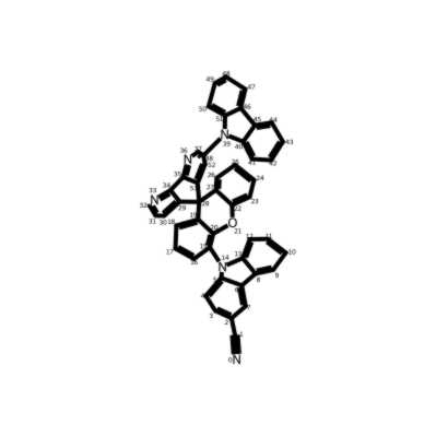 N#Cc1ccc2c(c1)c1ccccc1n2-c1cccc2c1Oc1ccccc1C21c2cccnc2-c2ncc(-n3c4ccccc4c4ccccc43)cc21